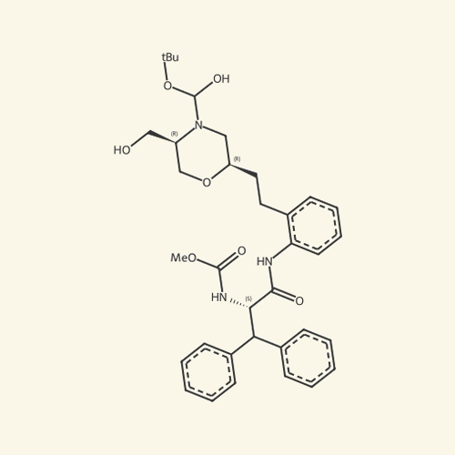 COC(=O)N[C@H](C(=O)Nc1ccccc1CC[C@@H]1CN(C(O)OC(C)(C)C)[C@H](CO)CO1)C(c1ccccc1)c1ccccc1